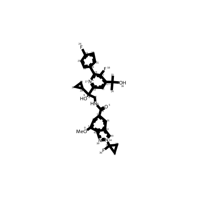 COc1cc(C(=O)NC[C@](O)(c2cc(C(C)(C)O)c(F)c(-c3ccc(F)cc3)n2)C2CC2)cc2cn(C3(F)CC3)nc12